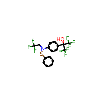 OC(c1ccc(N(CC(F)(F)F)Sc2ccccc2)cc1)(C(F)(F)F)C(F)(F)F